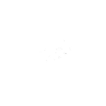 Cc1cccc(NS(=O)(=O)c2ccc(Br)cc2F)n1